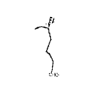 CC[C@H](C)CCC[C]=O